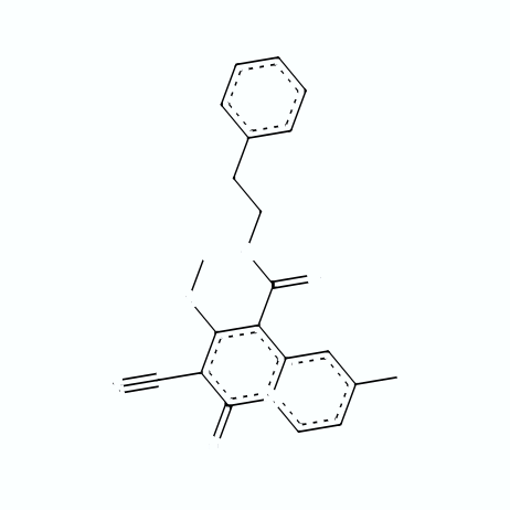 CSc1c(C#N)c(=O)n2ccc(C)cc2c1C(=O)OCCc1ccccc1